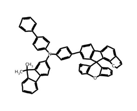 CC1(C)c2ccccc2-c2ccc(N(c3ccc(-c4ccccc4)cc3)c3ccc(-c4ccc5c(c4)C4(c6c#cccc6Oc6ccccc64)c4c-5ccc5c4CCC=C5)cc3)cc21